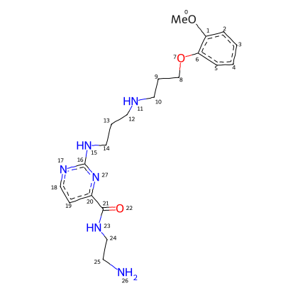 COc1ccccc1OCCCNCCCNc1nccc(C(=O)NCCN)n1